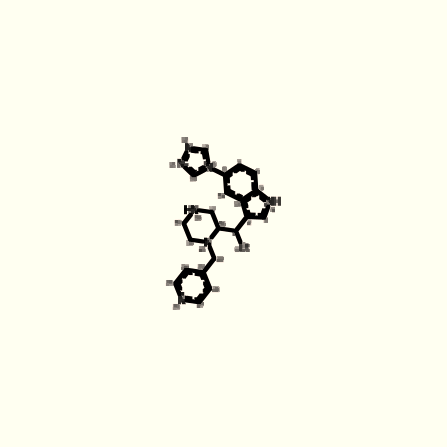 CCC(c1c[nH]c2ccc(-n3cnnc3)cc12)C1CNCCN1Cc1ccncc1